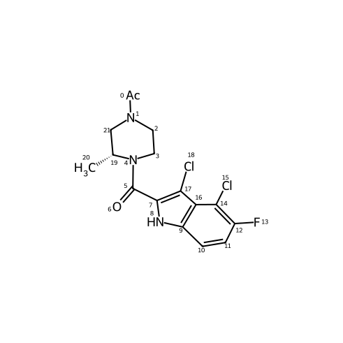 CC(=O)N1CCN(C(=O)c2[nH]c3ccc(F)c(Cl)c3c2Cl)[C@H](C)C1